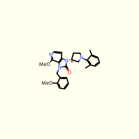 COc1ccccc1Cn1c(=O)n([C@@H]2CCN(c3c(C)cccc3C)C2)c2ccnc(OC)c21